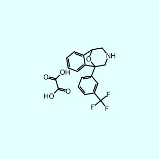 FC(F)(F)c1cccc(C23CNCC(O2)c2ccccc23)c1.O=C(O)C(=O)O